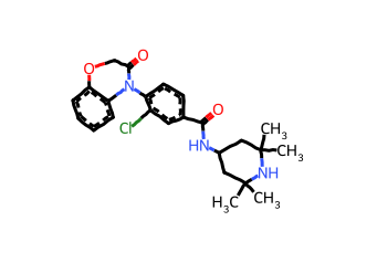 CC1(C)CC(NC(=O)c2ccc(N3C(=O)COc4ccccc43)c(Cl)c2)CC(C)(C)N1